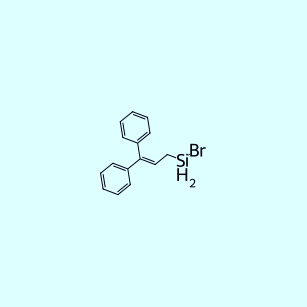 Br[SiH2]CC=C(c1ccccc1)c1ccccc1